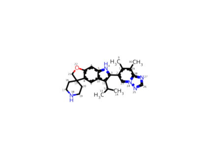 Cc1c(-c2[nH]c3cc4c(cc3c2C(C)C)C2(CCNCC2)CO4)cn2ncnc2c1C